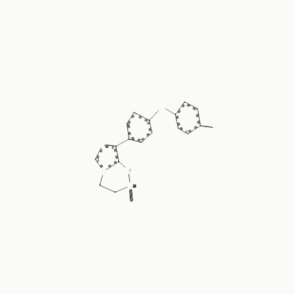 O=S1(=O)CCn2cnc(-c3ccc(Oc4ccc(Cl)cc4)cc3)c2N1